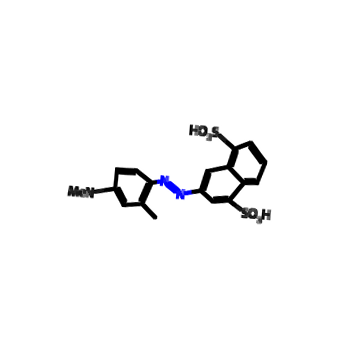 CNc1ccc(N=Nc2cc(S(=O)(=O)O)c3cccc(S(=O)(=O)O)c3c2)c(C)c1